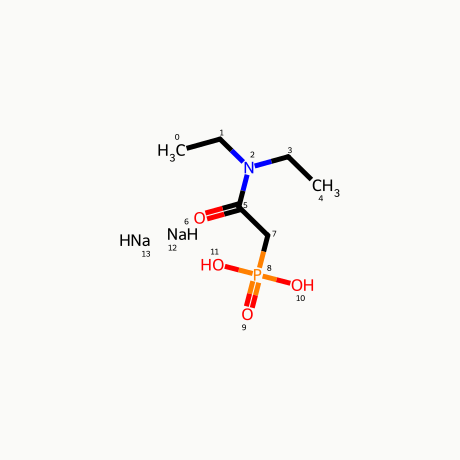 CCN(CC)C(=O)CP(=O)(O)O.[NaH].[NaH]